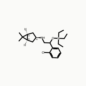 CC[Si](CC)(CC)OC(CN[C@H]1C[C@@H]2[C@H](C1)C2(C)C)c1ccccc1Cl